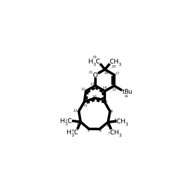 CC1(C)CCC(C)(C)Cc2cc(cc3c2C(C(C)(C)C)=CC(C)(C)O3)C1